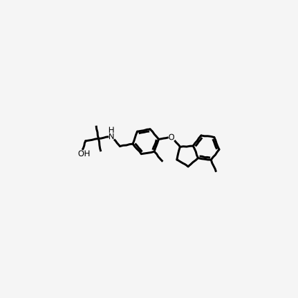 Cc1cc(CNC(C)(C)CO)ccc1OC1CCc2c(C)cccc21